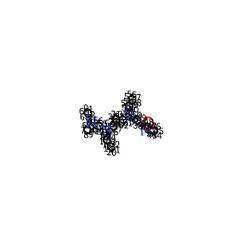 c1ccc(-n2c3ccccc3c3cc(N(c4ccc5ccccc5c4)c4ccc5c(ccc6cc(N(c7ccc(-c8nc9ccccc9o8)cc7)c7ccc8ccccc8c7)ccc65)c4)ccc32)cc1